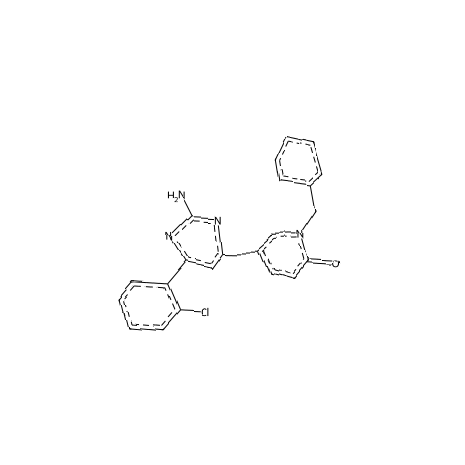 Nc1nc(-c2ccc(=O)n(Cc3ccccc3)c2)cc(-c2ccccc2Cl)n1